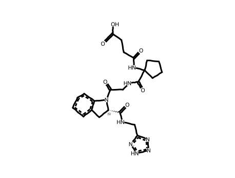 O=C(O)CCC(=O)NC1(C(=O)NCC(=O)N2c3ccccc3C[C@H]2C(=O)NCc2nn[nH]n2)CCCC1